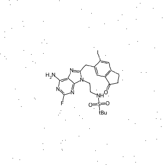 CC(C)(C)S(=O)(=O)NCCn1c(Cc2cc3c(cc2I)CCC3=O)nc2c(N)nc(F)nc21